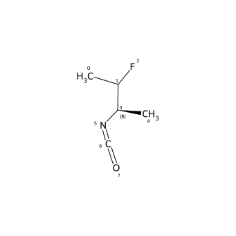 CC(F)[C@@H](C)N=C=O